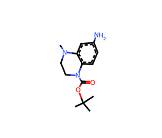 CN1CCN(C(=O)OC(C)(C)C)c2ccc(N)cc21